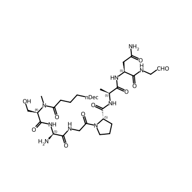 CCCCCCCCCCCCCC(=O)N(C)[C@H](CO)C(=O)N[C@H](N)C(=O)NCC(=O)N1CCC[C@H]1C(=O)N[C@@H](C)C(=O)N[C@@H](CC(N)=O)C(=O)NCC=O